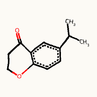 CC(C)c1ccc2c(c1)C(=O)CCO2